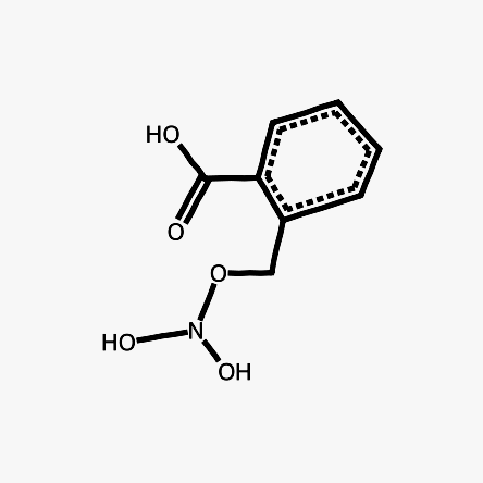 O=C(O)c1ccccc1CON(O)O